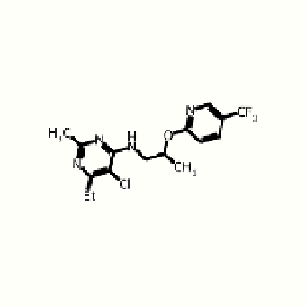 CCc1nc(C)nc(NCC(C)Oc2ccc(C(F)(F)F)cn2)c1Cl